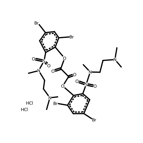 CN(C)CCN(C)S(=O)(=O)c1cc(Br)cc(Br)c1OC(=O)C(=O)Oc1c(Br)cc(Br)cc1S(=O)(=O)N(C)CCN(C)C.Cl.Cl